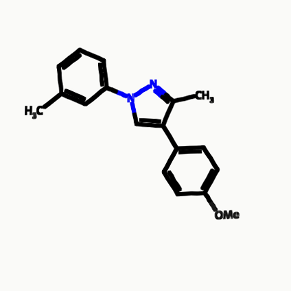 COc1ccc(-c2cn(-c3cccc(C)c3)nc2C)cc1